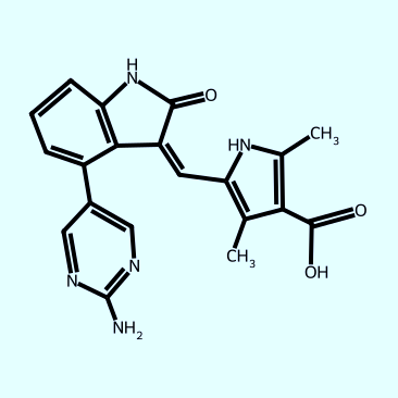 Cc1[nH]c(C=C2C(=O)Nc3cccc(-c4cnc(N)nc4)c32)c(C)c1C(=O)O